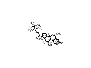 C[C@H]1C[C@@H]2[C@H]([C@@H](O)C[C@@]3(C)[C@H]2CC[C@]3(O)C(=O)CO[Si](C)(C)C(C)(C)C)[C@@]2(C)C=CC(=O)C=C12